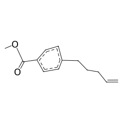 C=CCCCc1ccc(C(=O)OC)cc1